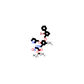 Cc1cc(CNC(CN=O)C(=O)OC(C)C)c(OCc2cccnc2)cc1OCc1cccc(-c2ccccc2)c1Br